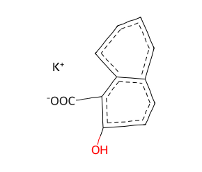 O=C([O-])c1c(O)ccc2ccccc12.[K+]